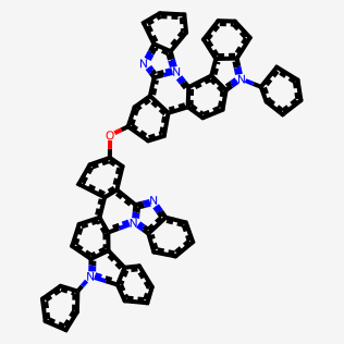 c1ccc(-n2c3ccccc3c3c2ccc2c4ccc(Oc5ccc6c(c5)c5nc7ccccc7n5c5c6ccc6c5c5ccccc5n6-c5ccccc5)cc4c4nc5ccccc5n4c23)cc1